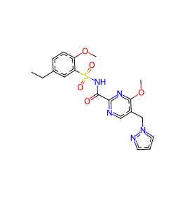 CCc1ccc(OC)c(S(=O)(=O)NC(=O)c2ncc(Cn3cccn3)c(OC)n2)c1